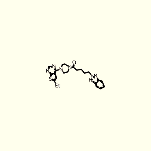 CCc1cc2c(N3CCN(C(=O)CCCCn4nc5ccccc5n4)CC3)ncnc2s1